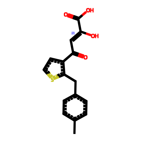 Cc1ccc(Cc2sccc2C(=O)/C=C(\O)C(=O)O)cc1